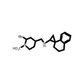 CC(C)(C)C1CC(CNC2CC23CCCc2ccccc23)CCN1C(=O)O